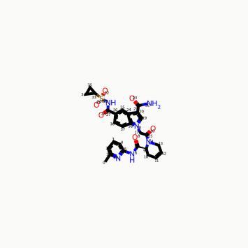 Cc1cccc(NC(=O)[C@@H]2CC=CCN2C(=O)Cn2cc(C(N)=O)c3cc(C(=O)NS(=O)(=O)C4CC4)ccc32)n1